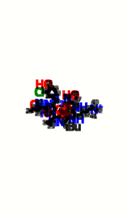 CC[C@H](C)C(NC(=O)[C@@H](NC(=O)[C@H](Cc1ccc(O)c(Cl)c1)NC(=O)c1cc(C)on1)C1CC1)C(=O)N[C@@H](CCCC[N+](C)(C)C)C(=O)N[C@@H](CO)C(N)=O